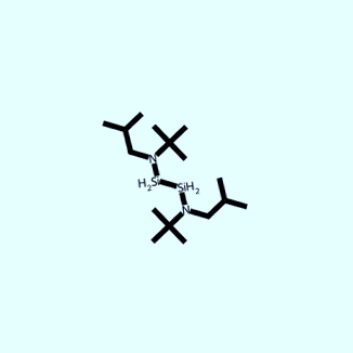 CC(C)CN([SiH2][SiH2]N(CC(C)C)C(C)(C)C)C(C)(C)C